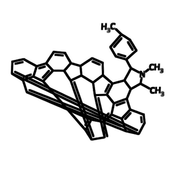 Cc1ccc(C2C3C4=c5c6c7c8c9c%10c%11c(c%12ccc%13c%14ccc%15c(c5c5c%15c%14c(c%13c%12%10)c9c75)C3C(C)N2C)C=CC2C%11C=8C3C2C=CC4C63)cc1